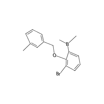 CB(C)c1cccc(Br)c1OCc1cccc(C)c1